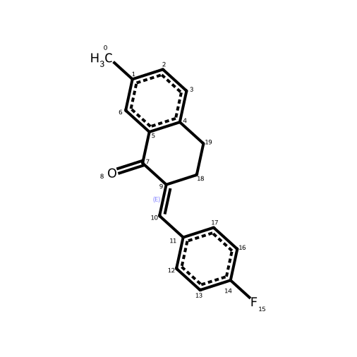 Cc1ccc2c(c1)C(=O)/C(=C/c1ccc(F)cc1)CC2